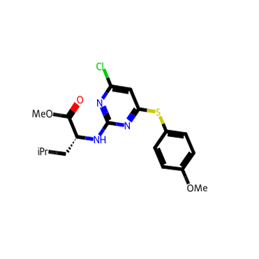 COC(=O)[C@@H](CC(C)C)Nc1nc(Cl)cc(Sc2ccc(OC)cc2)n1